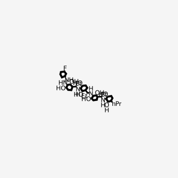 CCCc1ccc(O)c(NC(CC)c2ccc(O)c(NC(CC)c3ccc(O)c(NC(CC)c4ccc(O)c(NNc5cccc(F)c5)c4O)c3O)c2O)c1O